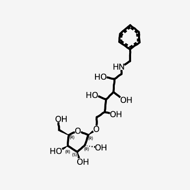 OC[C@H]1O[C@@H](OCC(O)C(O)C(O)C(O)CNCc2ccccc2)[C@H](O)[C@@H](O)[C@H]1O